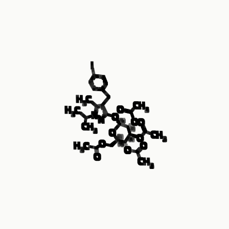 CC(=O)OC[C@H]1O[C@@H](Oc2nn(C(C)C)c(C)c2Cc2ccc(I)cc2)[C@H](OC(C)=O)[C@@H](OC(C)=O)[C@@H]1OC(C)=O